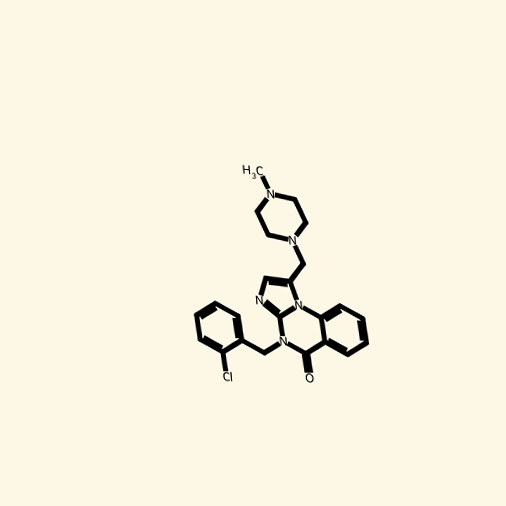 CN1CCN(Cc2cnc3n(Cc4ccccc4Cl)c(=O)c4ccccc4n23)CC1